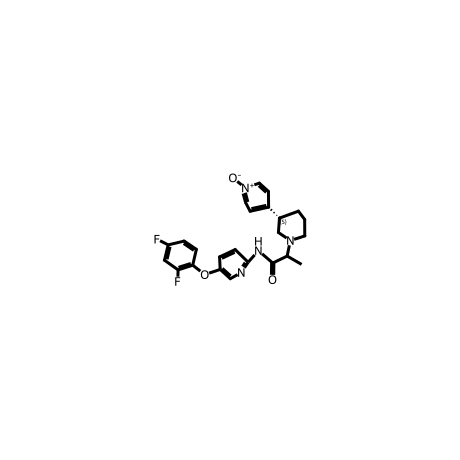 CC(C(=O)Nc1ccc(Oc2ccc(F)cc2F)cn1)N1CCC[C@@H](c2cc[n+]([O-])cc2)C1